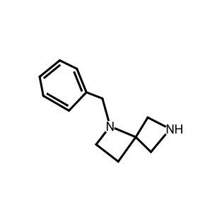 c1ccc(CN2CCC23CNC3)cc1